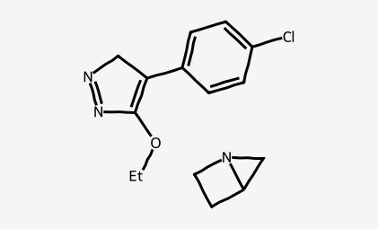 C1CN2CC12.CCOC1=C(c2ccc(Cl)cc2)CN=N1